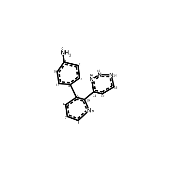 Nc1ccc(-c2cccnc2-c2ccnnn2)cc1